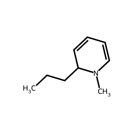 CCCC1C=CC=CN1C